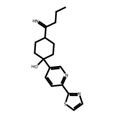 C[CH]CC(=N)C1CCC(O)(c2ccc(-c3nccs3)nc2)CC1